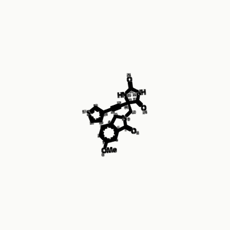 COc1ccc2c(c1)C(=O)N(C[C@@]1(C#Cc3ccsc3)NC(=O)NC1=O)C2